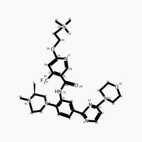 C[C@H]1CN(c2ccc(-c3nccc(N4CCOCC4)n3)cc2NC(=O)c2cnc(OCC[Si](C)(C)C)cc2C(F)(F)F)CCN1C